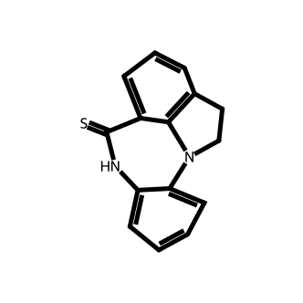 S=C1Nc2ccccc2N2CCc3cccc1c32